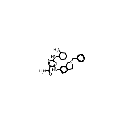 NC(=O)c1cnc(NC2CCCCC2N)nc1Nc1ccc2c(c1)CN(Cc1ccccc1)CC2